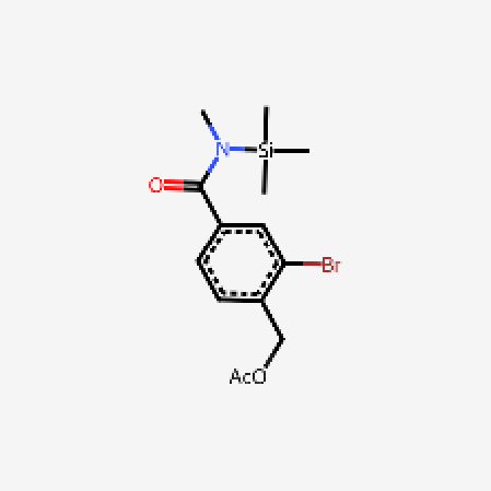 CC(=O)OCc1ccc(C(=O)N(C)[Si](C)(C)C)cc1Br